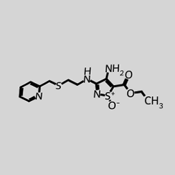 CCOC(=O)c1c(N)c(NCCSCc2ccccn2)n[s+]1[O-]